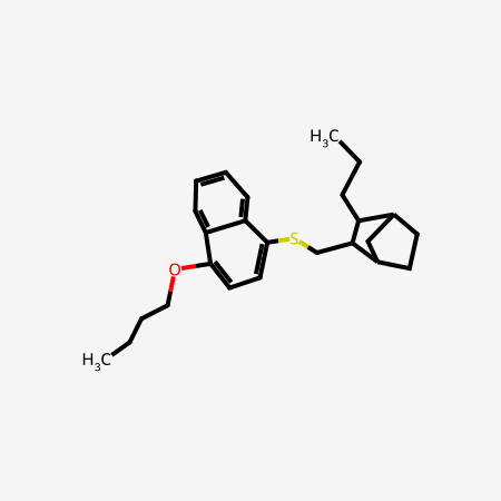 CCCCOc1ccc(SCC2C3CCC(C3)C2CCC)c2ccccc12